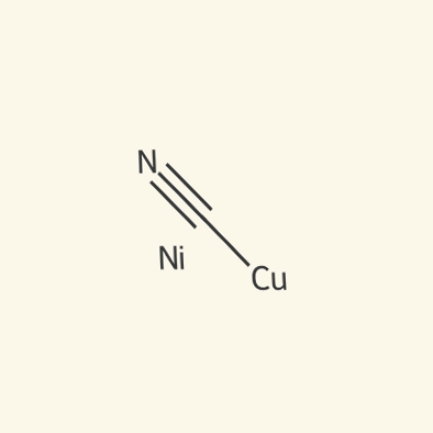 N#[C][Cu].[Ni]